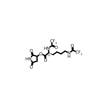 O=C1CC(OC(=O)[C@H](CCCCNC(=O)C(F)(F)F)NC(=O)C(F)(F)F)C(=O)N1